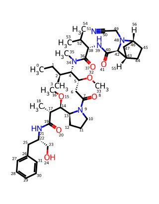 CC[C@H](C)[C@@H]([C@@H](CC(=O)N1CCC[C@H]1[C@H](OC)[C@@H](C)C(=O)N[C@H](CO)Cc1ccccc1)OC)N(C)C(=O)[C@@H](NC(=O)[C@@H]1[C@H]2CC[C@H](C2)N1CC#N)C(C)C